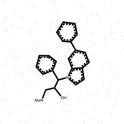 CNCC(O)C(c1ccccc1)n1ccc2ccc(-c3ccccc3)cc21